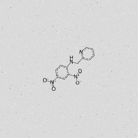 O=[N+]([O-])c1ccc(NCc2ccccn2)c([N+](=O)[O-])c1